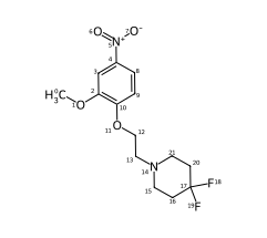 COc1cc([N+](=O)[O-])ccc1OCCN1CCC(F)(F)CC1